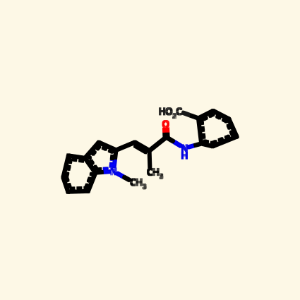 C/C(=C\c1cc2ccccc2n1C)C(=O)Nc1ccccc1C(=O)O